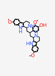 COc1ccc2c3c([nH]c2c1)C(CC(CC1NCCc2c1[nH]c1cc(OC)ccc21)c1ccc(O)c(OC)c1)NCC3